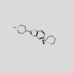 C[C@H]1CC[SH]2(c3ccc4sc(C5CCN(C)C[C@H]5C)nc4c3)(C=C2)NC1